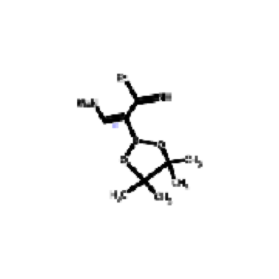 CCC(=N)/C(=C\NC)B1OC(C)(C)C(C)(C)O1